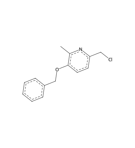 Cc1nc(CCl)ccc1OCc1ccccc1